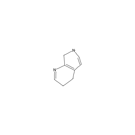 C1=CC2=C(C[N]1)N=CCC2